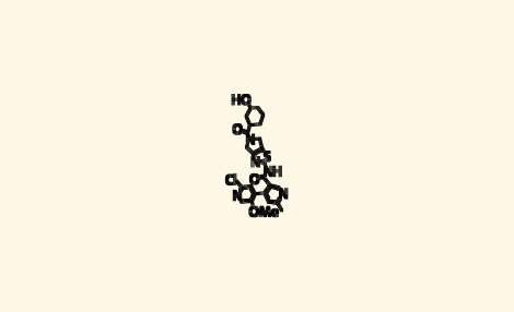 COc1cnc(Cl)cc1-c1cc(C)ncc1C(=O)Nc1nc2c(s1)CN(C(=O)C1CCCC(O)C1)C2